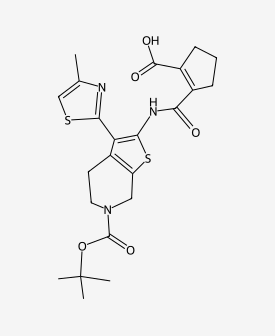 Cc1csc(-c2c(NC(=O)C3=C(C(=O)O)CCC3)sc3c2CCN(C(=O)OC(C)(C)C)C3)n1